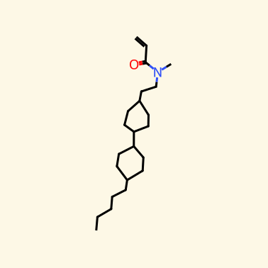 C=CC(=O)N(C)CCC1CCC(C2CCC(CCCCC)CC2)CC1